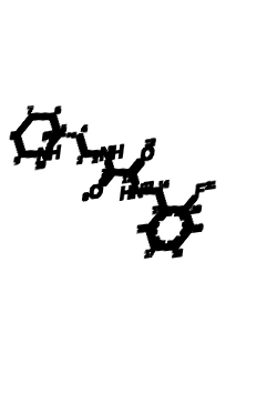 O=C(NCC[C@H]1CCCCN1)C(=O)NCc1ccccc1F